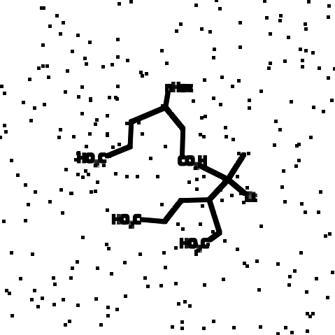 CCC(C)(C)C(CCC(=O)O)CC(=O)O.CCCCCCC(CCC(=O)O)CC(=O)O